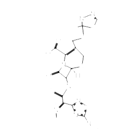 CC1(SCC2=C(C(=O)O)N3C(=O)C(NC(=O)/C(=N/O)c4nsc(N)n4)[C@H]3SC2)NN=CS1